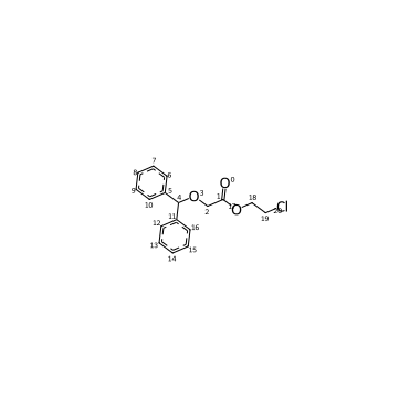 O=C(COC(c1ccccc1)c1ccccc1)OCCCl